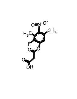 Cc1cc(OC(=O)CC(=O)O)c(F)c(C)c1[N+](=O)[O-]